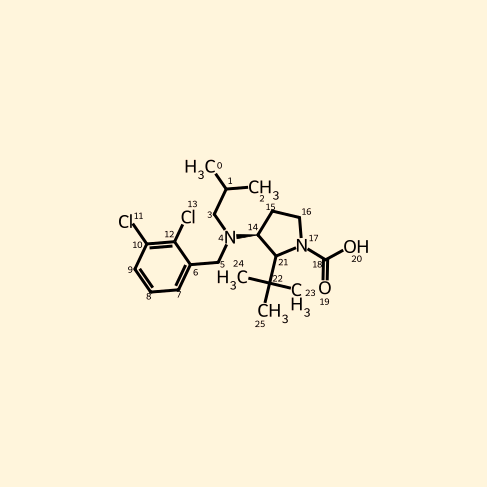 CC(C)CN(Cc1cccc(Cl)c1Cl)[C@H]1CCN(C(=O)O)C1C(C)(C)C